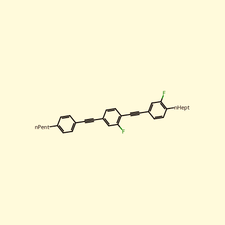 CCCCCCCc1ccc(C#Cc2ccc(C#Cc3ccc(CCCCC)cc3)cc2F)cc1F